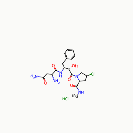 CC(C)(C)NC(=O)[C@@H]1C[C@H](Cl)CN1C(=O)[C@@H](O)[C@H](Cc1ccccc1)NC(=O)[C@@H](N)CC(N)=O.Cl